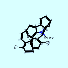 CCCCCCn1c2cc3ccc2c2cc4c(c(c21)-c1cccc(C#N)c1C=C4)-c1cccc(C#N)c1C=C3